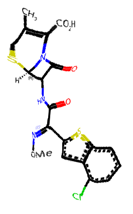 CO/N=C(/C(=O)NC1C(=O)N2C(C(=O)O)=C(C)CS[C@H]12)c1cc2c(Cl)cccc2s1